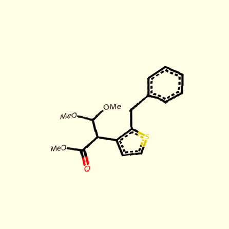 COC(=O)C(c1ccsc1Cc1ccccc1)C(OC)OC